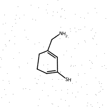 NCC1=CC(S)=CCC1